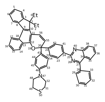 CCC1(CC)c2ccccc2-c2c1c1c(c3ccccc23)OC(c2ccc(-c3nc(-c4ccccc4)c4ccccc4n3)cc2)(c2ccc(N3CCSCC3)cc2)C=C1